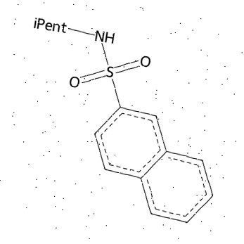 [CH2]CCC([CH2])NS(=O)(=O)c1ccc2ccccc2c1